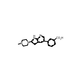 CN1CCN(c2cc3cc(-c4cccc(C(=O)O)c4)cnc3[nH]2)CC1